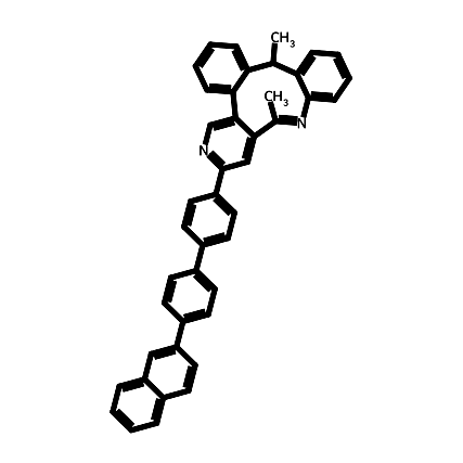 C/C1=N\c2ccccc2C(C)c2ccccc2-c2cnc(-c3ccc(-c4ccc(-c5ccc6ccccc6c5)cc4)cc3)cc21